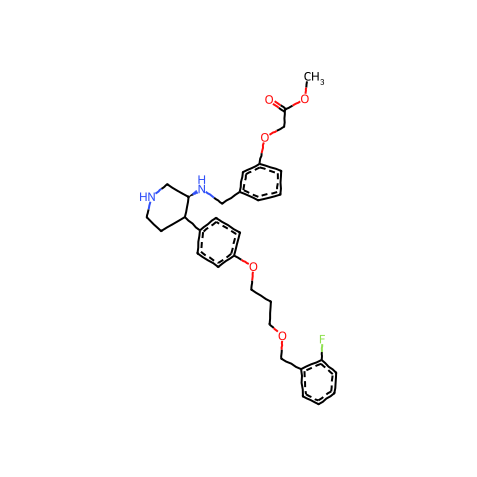 COC(=O)COc1cccc(CN[C@@H]2CNCCC2c2ccc(OCCCOCc3ccccc3F)cc2)c1